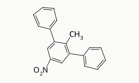 Cc1c(-c2ccccc2)cc([N+](=O)[O-])cc1-c1ccccc1